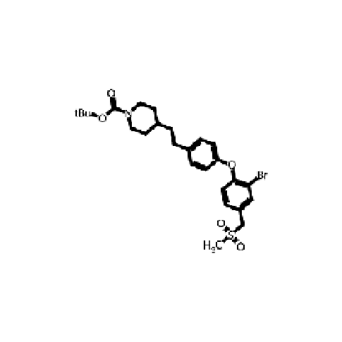 CC(C)(C)OC(=O)N1CCC(CCc2ccc(Oc3ccc(CS(C)(=O)=O)cc3Br)cc2)CC1